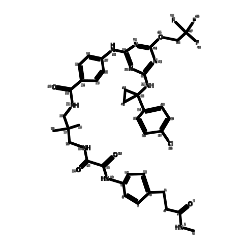 CNC(=O)CCc1ccc(NC(=O)C(=O)NCC(C)(C)CNC(=O)c2ccc(Nc3nc(NC4(c5ccc(Cl)cc5)CC4)nc(OCC(F)(F)F)n3)cc2)cc1